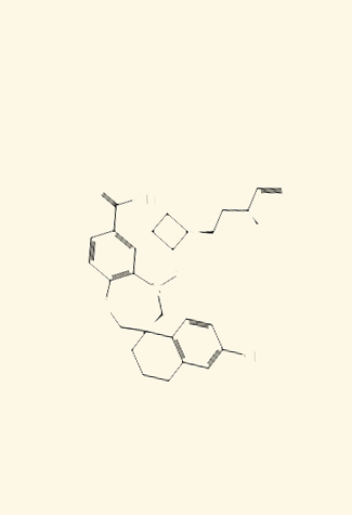 C=C[C@@H](O)CC[C@@H]1CC[C@H]1CN1C[C@@]2(CCCc3cc(Cl)ccc32)COc2ccc(C(=O)O)cc21